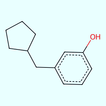 Oc1cccc(CC2CCCC2)c1